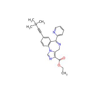 CCOC(=O)c1ncn2c1CN=C(c1ccccn1)c1cc(C#C[Si](C)(C)C)ccc1-2